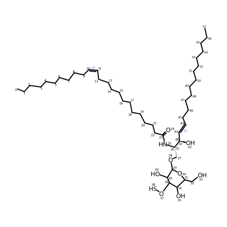 CCCCCCCCCC/C=C\CCCCCCCCCCCC(=O)N[C@@H](COC1OC(CO)C(O)C(OS)C1O)[C@H](O)/C=C/CCCCCCCCCCCCC